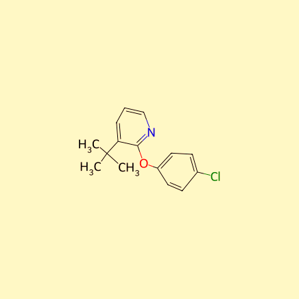 CC(C)(C)c1cccnc1Oc1ccc(Cl)cc1